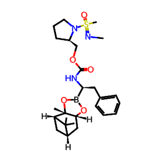 CN=S(C)(=O)N1CCC[C@@H]1COC(=O)N[C@@H](Cc1ccccc1)B1O[C@@H]2C[C@@H]3C[C@@H](C3(C)C)[C@]2(C)O1